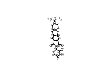 CC(C)N1CCC2(CC1)Cc1cc3c(cc1C2)C(=O)N(C1CCC(=O)NC1=O)C3=O